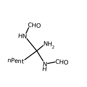 CCCCCC(N)(NC=O)NC=O